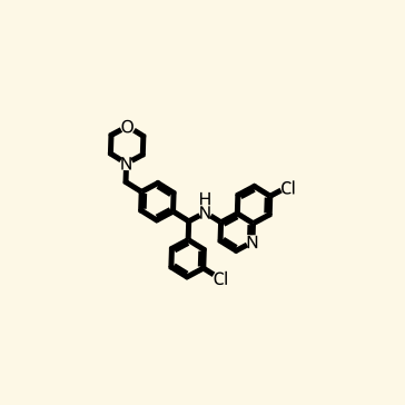 Clc1cccc(C(Nc2ccnc3cc(Cl)ccc23)c2ccc(CN3CCOCC3)cc2)c1